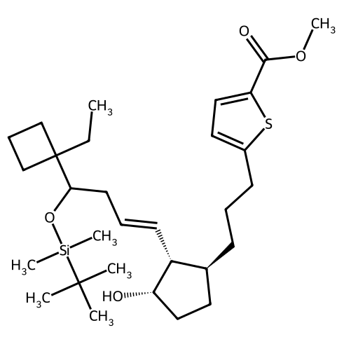 CCC1(C(C/C=C/[C@@H]2[C@@H](CCCc3ccc(C(=O)OC)s3)CC[C@@H]2O)O[Si](C)(C)C(C)(C)C)CCC1